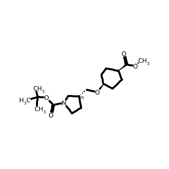 COC(=O)[C@H]1CC[C@@H](OC[C@@H]2CCN(C(=O)OC(C)(C)C)C2)CC1